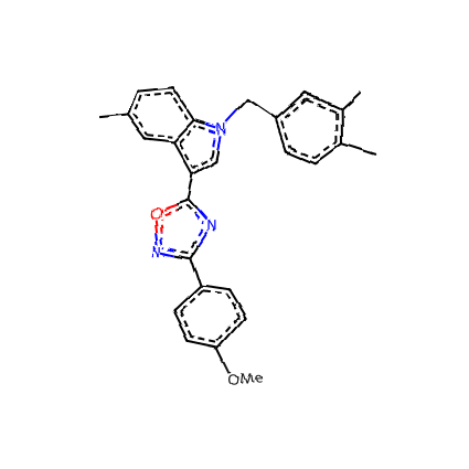 COc1ccc(-c2noc(-c3cn(Cc4ccc(C)c(C)c4)c4ccc(C)cc34)n2)cc1